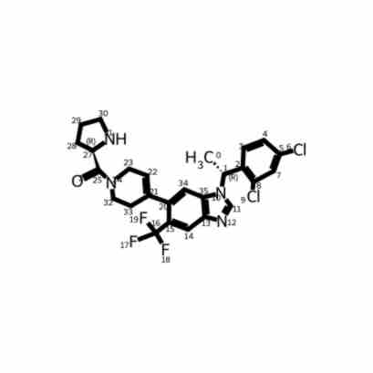 C[C@H](c1ccc(Cl)cc1Cl)n1cnc2cc(C(F)(F)F)c(C3=CCN(C(=O)[C@H]4CCCN4)CC3)cc21